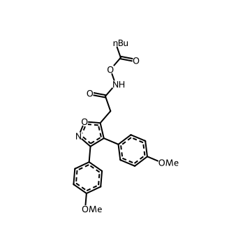 CCCCC(=O)ONC(=O)Cc1onc(-c2ccc(OC)cc2)c1-c1ccc(OC)cc1